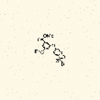 COC(=O)c1cc(Oc2ccc(S(=O)(=O)C3CC3)nc2)cc(OC(C)C)c1